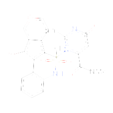 CCCc1nc(=O)cc(C(=O)NC)n1Cc1c2ccocc-2c(Br)c1-c1ccccc1NS(=O)(=O)C(F)(F)F